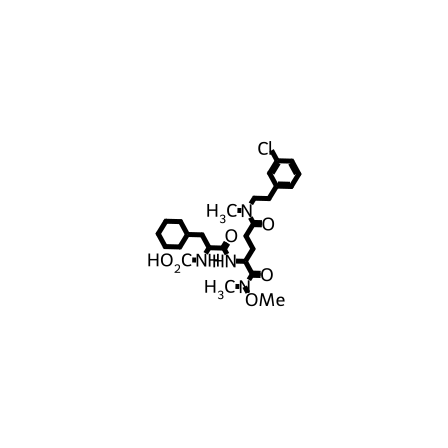 CON(C)C(=O)C(CCC(=O)N(C)CCc1cccc(Cl)c1)NC(=O)C(CC1CCCCC1)NC(=O)O